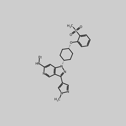 CCNc1cc2c(cn1)c(-c1cnn(C)c1)nn2[C@H]1CC[C@@H](Oc2ccccc2S(C)(=O)=O)CC1